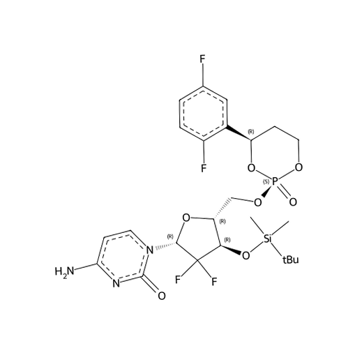 CC(C)(C)[Si](C)(C)O[C@@H]1[C@@H](CO[P@]2(=O)OCC[C@H](c3cc(F)ccc3F)O2)O[C@@H](n2ccc(N)nc2=O)C1(F)F